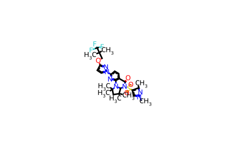 Cc1nn(C)cc1S(=O)(=O)N1C(=O)c2ccc(-n3ccc(OCC(C)(C)C(F)(F)F)n3)nc2N2C1C(C)(C)CC2(C)C